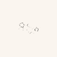 O=C(c1cccc(Cl)c1F)N1CCS(=O)(=O)[C@@H](c2cccs2)C1